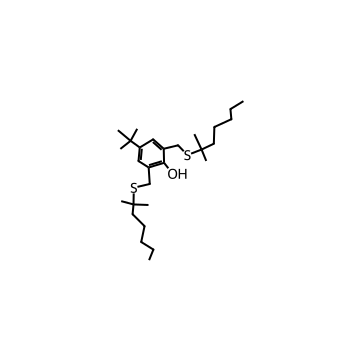 CCCCCC(C)(C)SCc1cc(C(C)(C)C)cc(CSC(C)(C)CCCCC)c1O